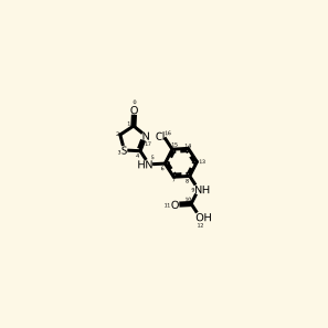 O=C1CSC(Nc2cc(NC(=O)O)ccc2Cl)=N1